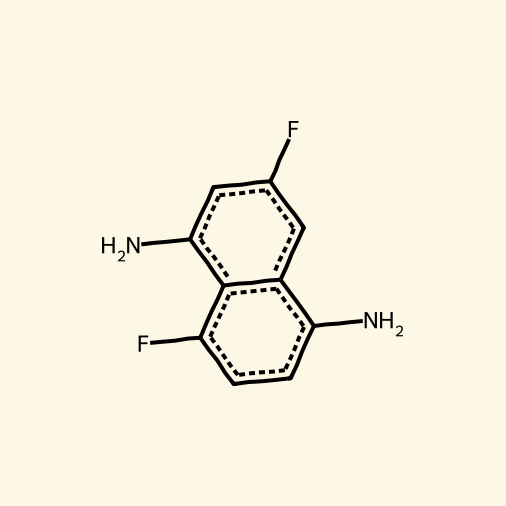 Nc1ccc(F)c2c(N)cc(F)cc12